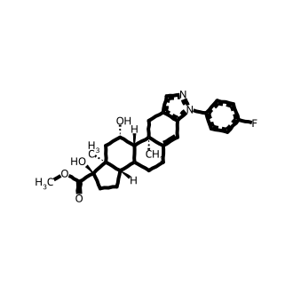 COC(=O)[C@@]1(O)CC[C@H]2C3CCC4=Cc5c(cnn5-c5ccc(F)cc5)C[C@]4(C)[C@H]3[C@@H](O)C[C@@]21C